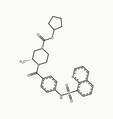 C[C@@H]1CN(C(=O)OC2CCCC2)CCN1C(=O)c1ccc(NS(=O)(=O)c2cccc3cccnc23)cc1